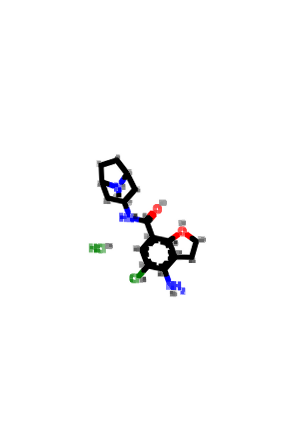 CN1C2CCC1CC(NC(=O)c1cc(Cl)c(N)c3c1OCC3)C2.Cl